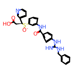 N=C(NCc1ccccc1)Nc1ccc(C(=O)Nc2cccc([S+]([O-])[C@@H](CC(=O)O)c3cccnc3)c2)cc1